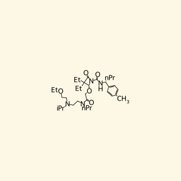 CCC[C@@H](NC(=O)N1C(=O)C(CC)(CC)[C@@H]1OCC(=O)N(CCC)CCN(CCOCC)C(C)C)c1ccc(C)cc1